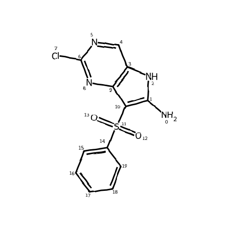 Nc1[nH]c2cnc(Cl)nc2c1S(=O)(=O)c1ccccc1